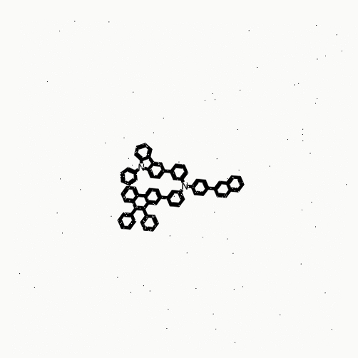 c1ccc(-c2c(-c3ccccc3)c3cc(-c4cccc(N(c5ccc(-c6ccc7ccccc7c6)cc5)c5cccc(-c6ccc7c(c6)c6ccccc6n7-c6ccccc6)c5)c4)ccc3c3ccccc23)cc1